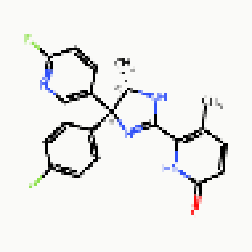 Cc1ccc(=O)[nH]c1C1=N[C@](c2ccc(F)cc2)(c2ccc(F)nc2)[C@H](C)N1